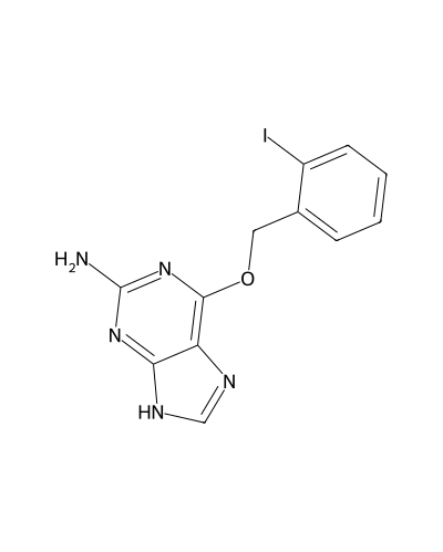 Nc1nc(OCc2ccccc2I)c2nc[nH]c2n1